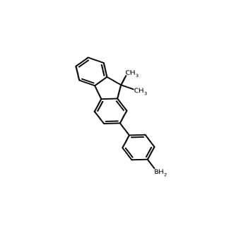 Bc1ccc(-c2ccc3c(c2)C(C)(C)c2ccccc2-3)cc1